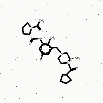 CC(=O)N1CCC[C@H]1C(=O)Nc1cc(Cl)cc(CN2CCN(C(=O)C3CCCC3)[C@@H](C)C2)c1C